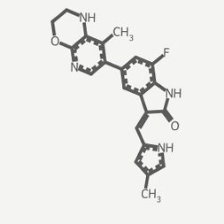 Cc1c[nH]c(/C=C2\C(=O)Nc3c(F)cc(-c4cnc5c(c4C)NCCO5)cc32)c1